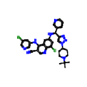 CC(C)(C)N1CCC(n2cc([C@@H](Nc3cc(Cl)c4ncc(C#N)c(Nc5cncc(Cl)c5)c4c3)c3cccnc3)nn2)CC1